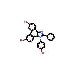 Oc1ccc(-n2c(-c3ccccc3)nc3c4ccc(Br)cc4c4cc(Br)ccc4c32)cc1